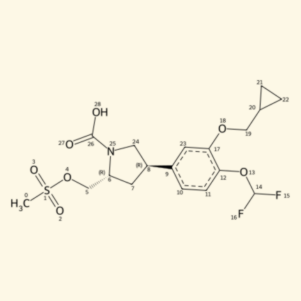 CS(=O)(=O)OC[C@H]1C[C@H](c2ccc(OC(F)F)c(OCC3CC3)c2)CN1C(=O)O